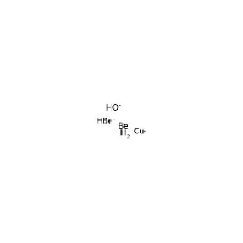 [BeH+].[BeH2].[Cu].[OH-]